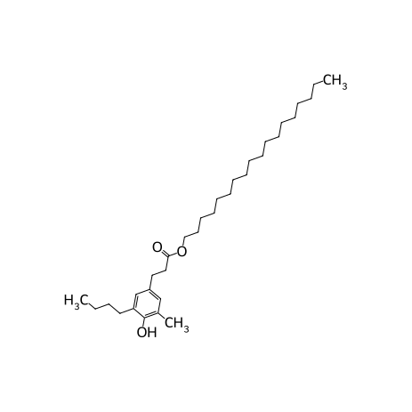 CCCCCCCCCCCCCCCCCCOC(=O)CCc1cc(C)c(O)c(CCCC)c1